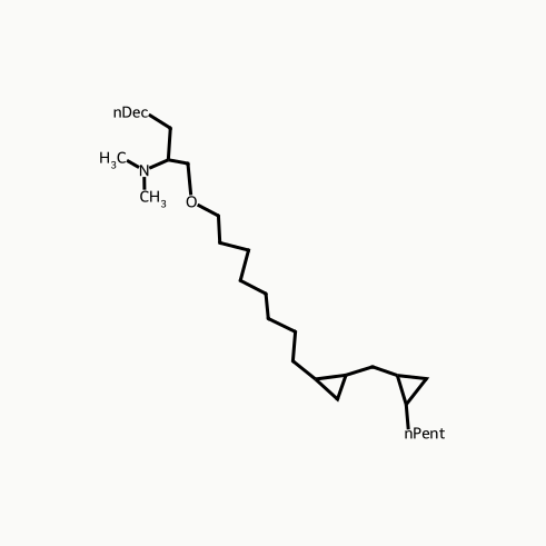 CCCCCCCCCCCC(COCCCCCCCCC1CC1CC1CC1CCCCC)N(C)C